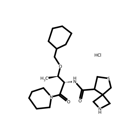 C[C@@H](OCC1CCCCC1)[C@H](NC(=O)C1CSCC12CNC2)C(=O)N1CCCCC1.Cl